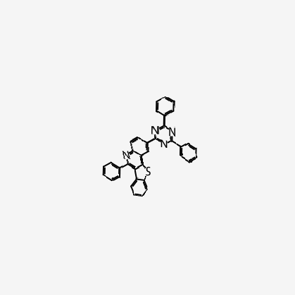 c1ccc(-c2nc(-c3ccccc3)nc(-c3ccc4nc(-c5ccccc5)c5c6ccccc6sc5c4c3)n2)cc1